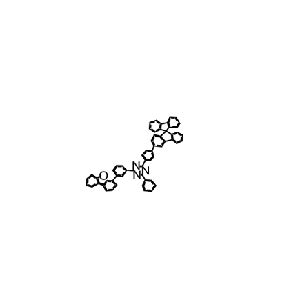 c1ccc(-c2nc(-c3ccc(-c4ccc5c(c4)-c4ccccc4C54c5ccccc5-c5ccccc54)cc3)nc(-c3cccc(-c4cccc5c4oc4ccccc45)c3)n2)cc1